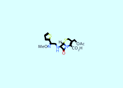 CON=C(CNC1C(=O)N2C(C(=O)O)=C(COC(C)=O)CS[C@@H]12)c1cccs1